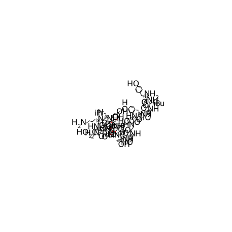 CC[C@H](C)[C@H](NC(=O)[C@@H](N)Cc1ccc(O)cc1)C(=O)N[C@@H](CO)C(=O)N[C@@H](Cc1ccc(O)cc1)C(=O)N[C@@H](CO)C(=O)NCC(=O)N[C@@H](CO)C(=O)N[C@H](C(=O)N[C@@H](CO)C(=O)N[C@@H](Cc1ccc(O)cc1)C(=O)N[C@@H](CC(N)=O)C(=O)N1CCC[C@H]1C(=O)N[C@@H](CO)C(=O)N[C@@H](CC(C)C)C(=O)N[C@@H](CCCCN)C(=O)N[C@@H](CO)C(=O)O)[C@@H](C)O